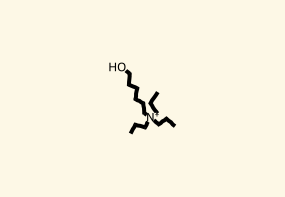 CCC[N+](CCC)(CCC)CCCCCCO